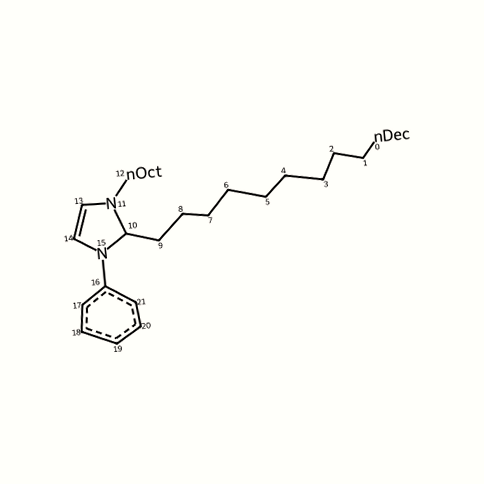 CCCCCCCCCCCCCCCCCCCC1N(CCCCCCCC)C=CN1c1ccccc1